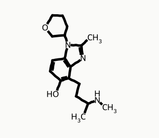 CNC(C)CCc1c(O)ccc2c1nc(C)n2C1CCCOC1